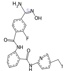 N/C(=N/O)c1ccc(C(=O)Nc2ccccc2C(=O)Nc2ccc(CI)cn2)c(F)c1